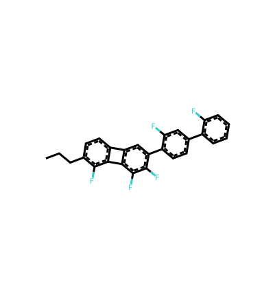 CCCc1ccc2c(c1F)-c1c-2cc(-c2ccc(-c3ccccc3F)cc2F)c(F)c1F